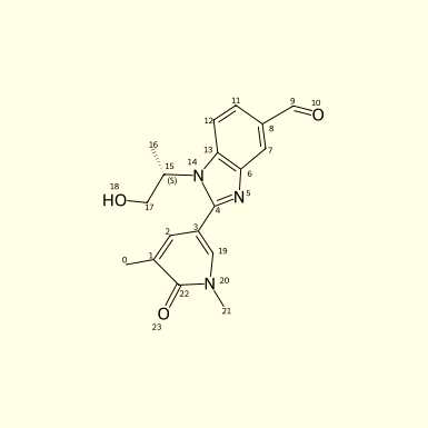 Cc1cc(-c2nc3cc(C=O)ccc3n2[C@@H](C)CO)cn(C)c1=O